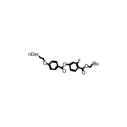 CCCCCCCCCCCCOc1ccc(C(=O)Oc2ccc(C(=O)OCC(C)CC)c(F)c2)cc1